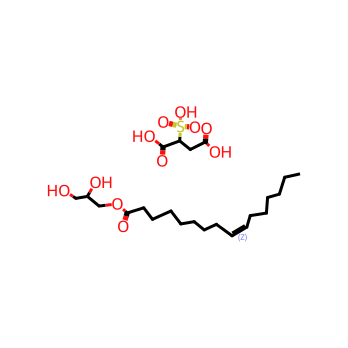 CCCCCC/C=C\CCCCCCCC(=O)OCC(O)CO.O=C(O)CC(C(=O)O)S(=O)(=O)O